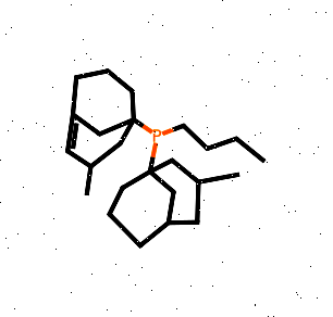 CCCCP(C12CCCC(=CC(C)C1)C2)C12CCCC(CC(C)C1)C2